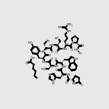 CCCCCC(=O)O.CCNC(=O)[C@@H]1CCCN1C(=O)[C@H](CCCNC(=N)N)NC(=O)[C@H](CC(C)C)NC(=O)[C@@H](CC(C)C)NC(=O)[C@H](Cc1ccc(O)cc1)NC(=O)[C@H](CO)NC(=O)[C@H](Cc1c[nH]c2ccccc12)NC(=O)[C@H](Cc1cnc[nH]1)NC(=O)[C@@H]1CCC(=O)N1